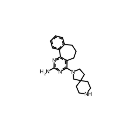 Nc1nc2c(c(N3CCC4(CCNCC4)C3)n1)CCCc1ccccc1-2